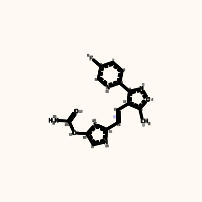 Cc1onc(-c2ccc(F)cn2)c1/C=C/c1ncc(OC(N)=O)s1